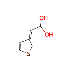 OC(O)C=C1C=CSC1